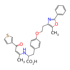 C/C(=C/C(=O)c1ccsc1)NC(Cc1ccc(OCCc2nc(-c3ccccc3)oc2C)cc1)C(=O)O